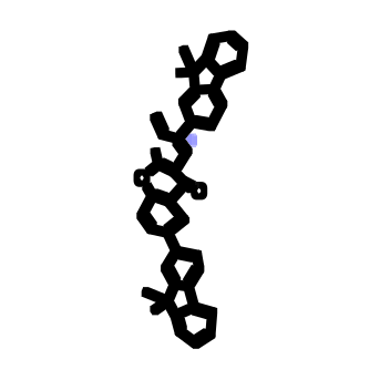 C=C/C(=C\c1c(C)oc2ccc(-c3ccc4c(c3)C(C)(C)c3ccccc3-4)cc2c1=O)c1ccc2c(c1)C(C)(C)c1ccccc1-2